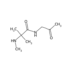 CNC(C)(C)C(=O)NCC(C)=O